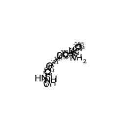 N=C(NO)c1ccc(OCCCCCOc2ccc(-c3nc(-c4ccccc4)sc3N)cc2)cc1